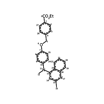 CCOC(=O)c1ccc(COc2ccc(N(C)c3nc(C)nc4ccccc34)cc2)cc1